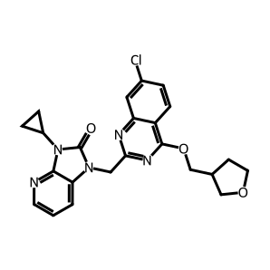 O=c1n(Cc2nc(OCC3CCOC3)c3ccc(Cl)cc3n2)c2cccnc2n1C1CC1